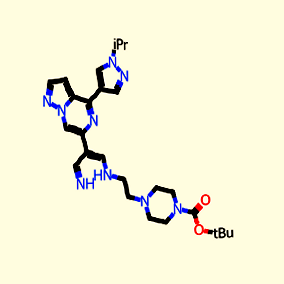 CC(C)n1cc(-c2nc(/C(C=N)=C/NCCN3CCN(C(=O)OC(C)(C)C)CC3)cn3nccc23)cn1